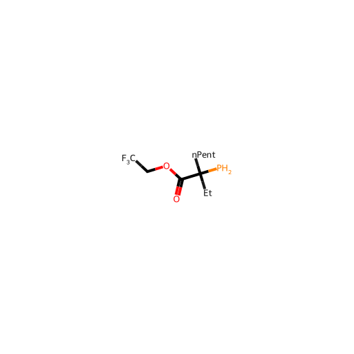 CCCCCC(P)(CC)C(=O)OCC(F)(F)F